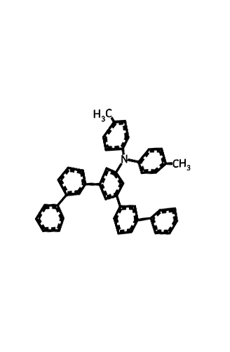 Cc1ccc(N(c2ccc(C)cc2)c2cc(-c3cccc(-c4ccccc4)c3)cc(-c3cccc(-c4ccccc4)c3)c2)cc1